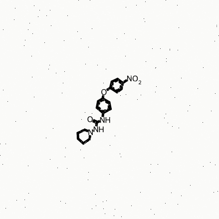 O=C(Nc1ccc(Oc2ccc([N+](=O)[O-])cc2)cc1)NN1CCCCC1